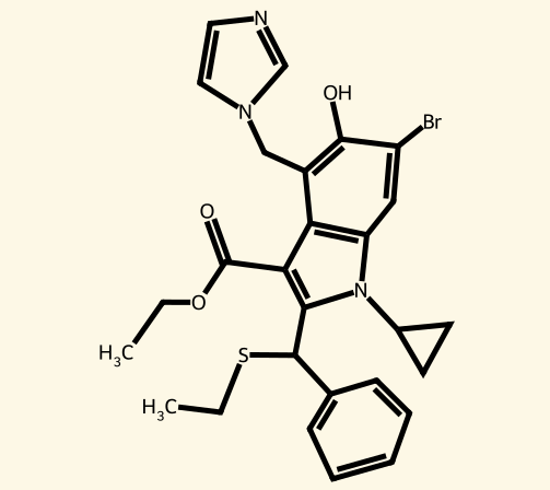 CCOC(=O)c1c(C(SCC)c2ccccc2)n(C2CC2)c2cc(Br)c(O)c(Cn3ccnc3)c12